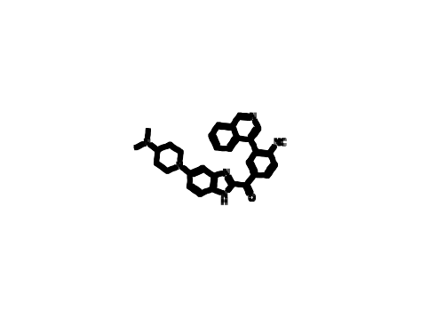 [C-]#[N+]c1ccc(C(=O)c2nc3cc(N4CCC(N(C)C)CC4)ccc3[nH]2)cc1-c1cncc2ccccc12